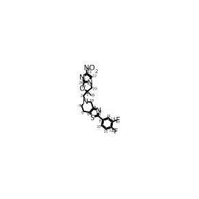 C[C@]1(CN2CCc3sc(-c4ccc(F)c(F)c4)nc3C2)Cn2cc([N+](=O)[O-])nc2O1